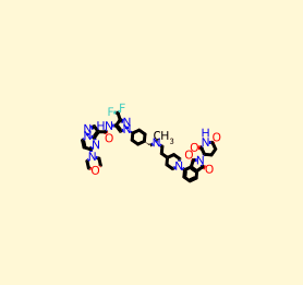 CN(CCC1CCN(c2cccc3c2C(=O)N(C2CCC(=O)NC2=O)C3=O)CC1)C[C@H]1CC[C@H](n2cc(NC(=O)c3cnn4ccc(N5CCOCC5)nc34)c(C(F)F)n2)CC1